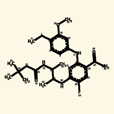 CCc1ccc(Nc2nc(NC(C)C(C)NC(=O)CC(C)(C)C)c(F)cc2C(N)=O)cc1OC